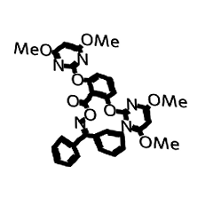 COc1cc(OC)nc(Oc2cccc(Oc3nc(OC)cc(OC)n3)c2C(=O)ON=C(c2ccccc2)c2ccccc2)n1